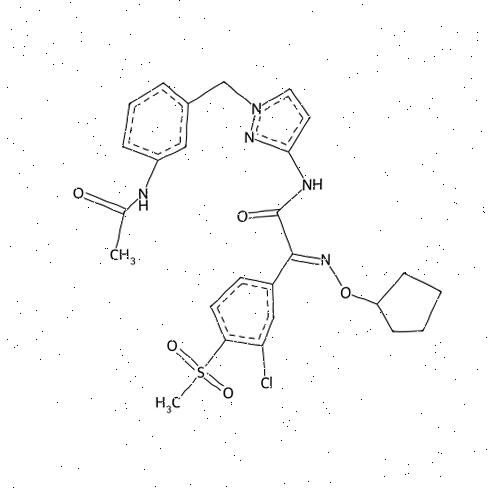 CC(=O)Nc1cccc(Cn2ccc(NC(=O)C(=NOC3CCCC3)c3ccc(S(C)(=O)=O)c(Cl)c3)n2)c1